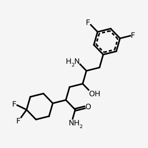 NC(=O)C(CC(O)C(N)Cc1cc(F)cc(F)c1)C1CCC(F)(F)CC1